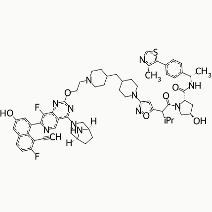 C#Cc1c(F)ccc2cc(O)cc(-c3ncc4c(N5C[C@H]6CC[C@@H](C5)N6)nc(OCCN5CCC(CC6CCN(c7cc(C(C(=O)N8C[C@H](O)C[C@H]8C(=O)N[C@@H](C)c8ccc(-c9scnc9C)cc8)C(C)C)on7)CC6)CC5)nc4c3F)c12